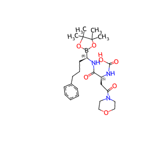 CC1(C)OB([C@H](CCCc2ccccc2)NC(=O)[C@H](CC(=O)N2CCOCC2)NC(=O)O)OC1(C)C